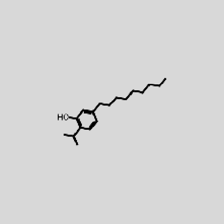 CCCCCCCCCc1ccc(C(C)C)c(O)c1